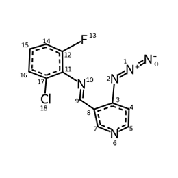 [N-]=[N+]=Nc1ccncc1/C=N/c1c(F)cccc1Cl